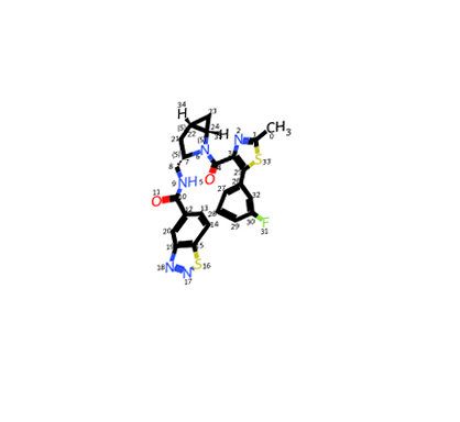 Cc1nc(C(=O)N2[C@H](CNC(=O)c3ccc4snnc4c3)C[C@@H]3C[C@@H]32)c(-c2cccc(F)c2)s1